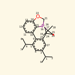 CC(C)c1cc(C(C)C)c(-c2cccc3c2P(C(C)(C)C)CO3)c(C(C)C)c1